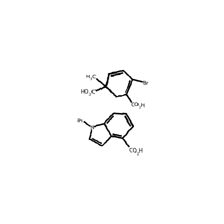 CC(C)n1ccc2c(C(=O)O)cccc21.CC1(C(=O)O)C=CC(Br)=C(C(=O)O)C1